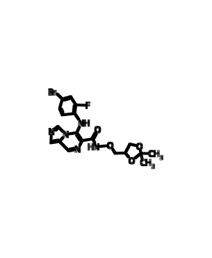 CC1(C)OCC(CONC(=O)c2ncc3cncn3c2Nc2ccc(Br)cc2F)O1